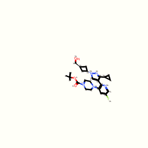 CC(C)(C)OC(=O)N1CCN(c2cc(F)cnc2-c2cn([C@H]3C[C@H](CO)C3)nc2C2CC2)CC1